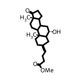 COC(=O)CC/C=C1\CC[C@]2(C)C3CC[C@]4(C)C(=O)CCC4C3C[C@H](O)C2C1